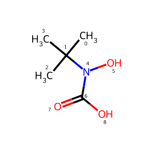 CC(C)(C)N(O)C(=O)O